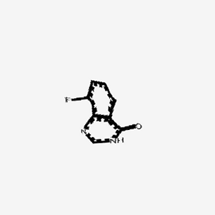 O=c1[nH]cnc2c(F)cccc12